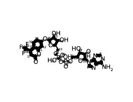 Nc1ncnc2c1ncn2C1OC(COP(=O)(O)OP(=O)(O)OC[C@H]2OC(Oc3ccc4c(C(F)(F)F)cc(=O)oc4c3)C(O)C2O)[C@@H](O)[C@H]1O